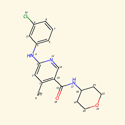 CC(C)c1cc(Nc2cccc(Cl)c2)ncc1C(=O)NC1CCOCC1